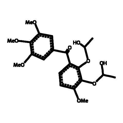 COc1cc(C(=O)c2ccc(OC)c(OC(C)O)c2OC(C)O)cc(OC)c1OC